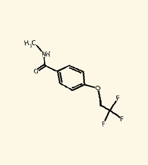 CNC(=O)c1ccc(OCC(F)(F)F)cc1